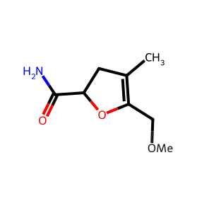 COCC1=C(C)CC(C(N)=O)O1